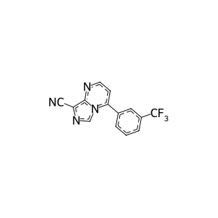 N#Cc1ncn2c(-c3cccc(C(F)(F)F)c3)ccnc12